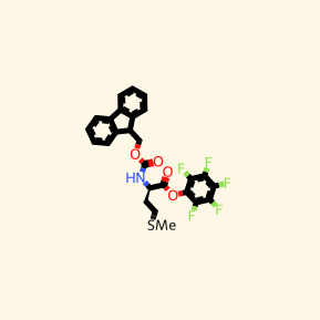 CSCC[C@@H](NC(=O)OCC1c2ccccc2-c2ccccc21)C(=O)Oc1c(F)c(F)c(F)c(F)c1F